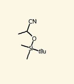 CC(C#N)O[Si](C)(C)C(C)(C)C